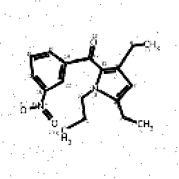 CCCn1c(CC)cc(CC)c1C(=O)c1cccc([N+](=O)[O-])c1